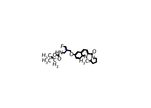 C[C@@H]1CCCN1C(=O)c1ccc2cc(OC/C(=C/F)CNC(=O)OC(C)(C)C)ccc2n1